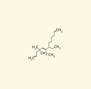 C=CCCCCC(CC)/C(=C/C(C)(C)CC=C)CC